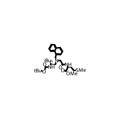 CC[C@H](C)[C@@H](CN(CC(=O)N[C@@H](CCSC)C(=O)OC)Cc1cccc2ccccc12)NC(=O)OC(C)(C)C